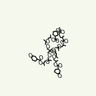 CC(COCC(COCC(C)OCC(C)OC(=O)C1CCC2OC2C1)(COCC(C)OCC(C)OC(=O)C1CCC2OC2C1)COCC(C)OCC(C)OC(=O)C1CCC2OC2C1)OCC(C)OC(=O)C(C)CCC1OC1C